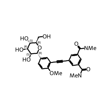 CNC(=O)c1cc(C#Cc2cc([C@H]3O[C@H](CO)[C@@H](O)[C@H](O)[C@@H]3O)ccc2OC)cc(C(=O)NC)c1